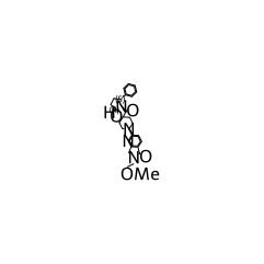 COCCN1Cc2nc(N3CCC4(CC3)O[C@@H]3CC[C@@H](c5ccccc5)N3C4=O)ccc2C1=O